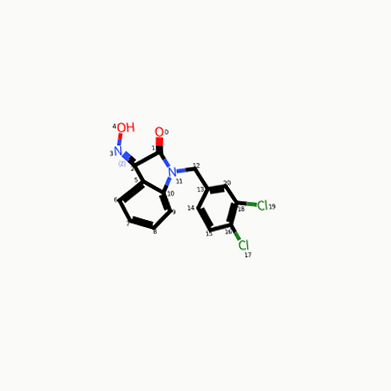 O=C1/C(=N\O)c2ccccc2N1Cc1ccc(Cl)c(Cl)c1